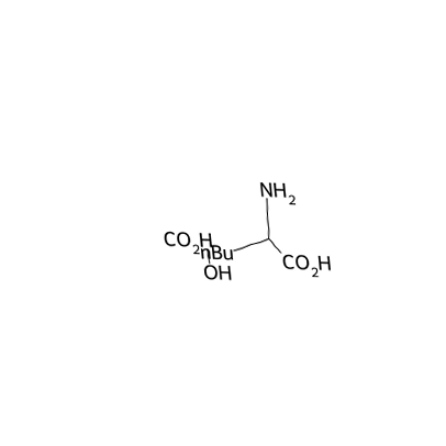 CCCCC(N)C(=O)O.O=C(O)O